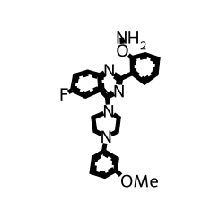 COc1cccc(N2CCN(c3nc(-c4ccccc4ON)nc4ccc(F)cc34)CC2)c1